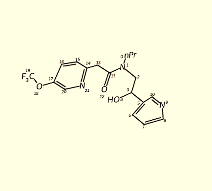 CCCN(CC(O)c1cccnc1)C(=O)Cc1ccc(OC(F)(F)F)cn1